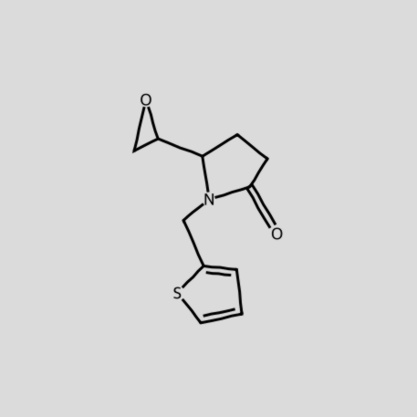 O=C1CCC(C2CO2)N1Cc1cccs1